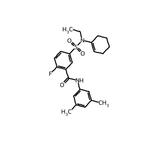 CCN(C1=CCCCC1)S(=O)(=O)c1ccc(F)c(C(=O)Nc2cc(C)cc(C)c2)c1